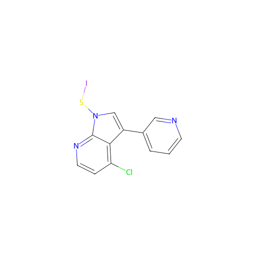 Clc1ccnc2c1c(-c1cccnc1)cn2SI